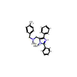 CCCCN(Cc1ccc(C(F)(F)F)cc1)Cc1c(-c2ccccc2)nc(-c2ccccc2)n1CCCC